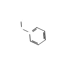 CCN[n+]1ccccc1